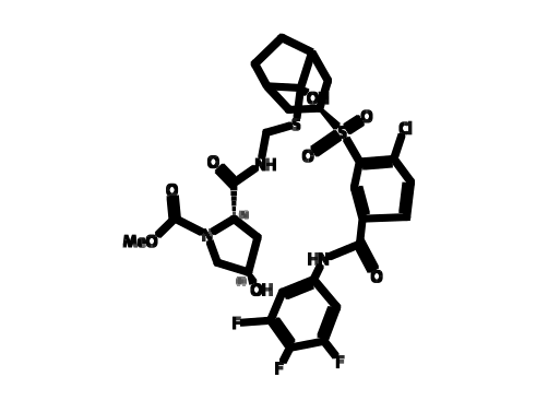 COC(=O)N1C[C@H](O)C[C@H]1C(=O)NCS[C@]1(O)C2CCC1C[C@@H](S(=O)(=O)c1cc(C(=O)Nc3cc(F)c(F)c(F)c3)ccc1Cl)C2